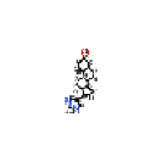 C[C@]12CCC3C(CCC4=CC(=O)CC[C@@]43C)C1=CC=C2c1cncnc1